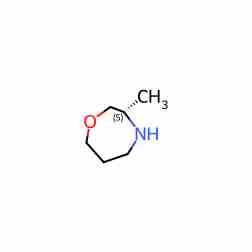 C[C@H]1COCCCN1